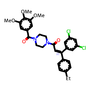 CCc1ccc(/C(=C/C(=O)N2CCN(C(=O)c3cc(OC)c(OC)c(OC)c3)CC2)c2cc(Cl)cc(Cl)c2)cc1